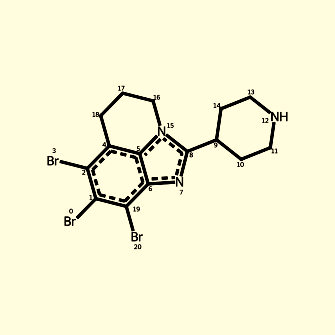 Brc1c(Br)c2c3c(nc(C4CCNCC4)n3CCC2)c1Br